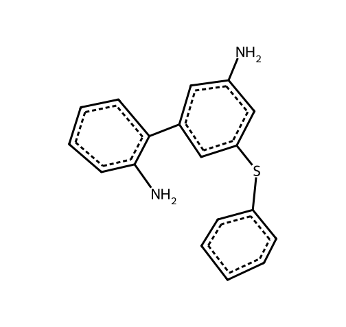 Nc1cc(Sc2ccccc2)cc(-c2ccccc2N)c1